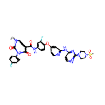 CC(C)n1cc(C(=O)Nc2ccc(Oc3ccnc(Nc4ccnc(N5CCN(S(C)(=O)=O)CC5)n4)c3)c(F)c2)c(=O)n(-c2ccc(F)cc2)c1=O